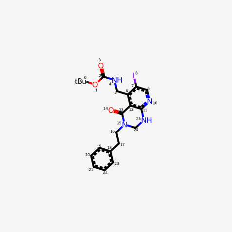 CC(C)(C)OC(=O)NCc1c(I)cnc2c1C(=O)N(CCc1ccccc1)CN2